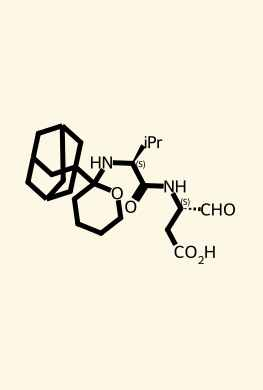 CC(C)[C@H](NC1(C23CC4CC(CC(C4)C2)C3)CCCCO1)C(=O)N[C@H](C=O)CC(=O)O